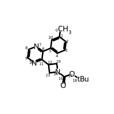 Cc1cccc(-c2nccnc2C2CN(C(=O)OC(C)(C)C)C2)c1